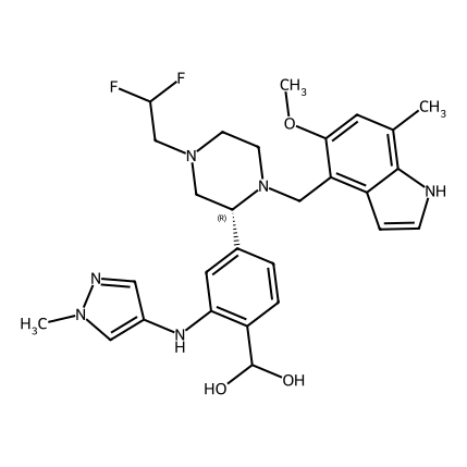 COc1cc(C)c2[nH]ccc2c1CN1CCN(CC(F)F)C[C@H]1c1ccc(C(O)O)c(Nc2cnn(C)c2)c1